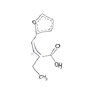 CC/C(=C/c1ccco1)C(=O)O